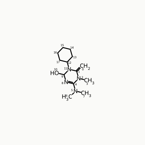 C=C1N(C)C(N(C)C)=NC(O)N1C1CCCCC1